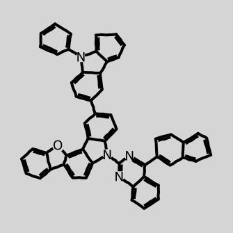 c1ccc(-n2c3ccccc3c3cc(-c4ccc5c(c4)c4c6oc7ccccc7c6ccc4n5-c4nc(-c5ccc6ccccc6c5)c5ccccc5n4)ccc32)cc1